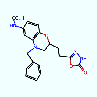 O=C(O)Nc1ccc2c(c1)N(Cc1ccccc1)CC(CCc1n[nH]c(=O)o1)O2